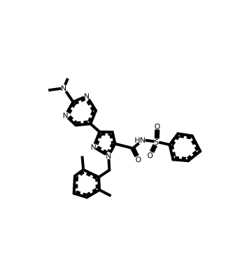 Cc1cccc(C)c1Cn1nc(-c2cnc(N(C)C)nc2)cc1C(=O)NS(=O)(=O)c1ccccc1